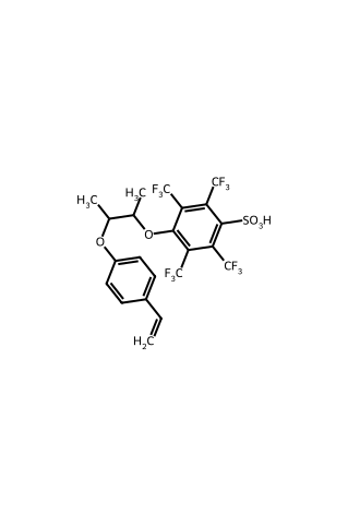 C=Cc1ccc(OC(C)C(C)Oc2c(C(F)(F)F)c(C(F)(F)F)c(S(=O)(=O)O)c(C(F)(F)F)c2C(F)(F)F)cc1